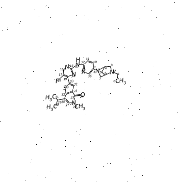 CCN1CC2CC1CN2c1ccc(Nc2ncc(F)c(-c3cc4c(=O)n(C)cc(C(C)C)c4s3)n2)nc1